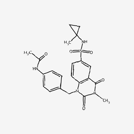 CC(=O)Nc1ccc(Cn2c(=O)n(C)c(=O)c3cc(S(=O)(=O)NC4(C)CC4)ccc32)cc1